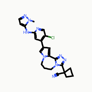 Cn1nccc1Nc1cc(-c2cc3n(c2)CCCn2c-3nnc2C2(C#N)CCC2)c(Cl)cn1